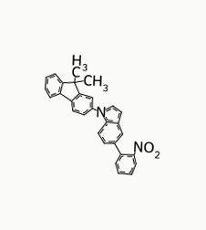 CC1(C)c2ccccc2-c2ccc(-n3ccc4cc(-c5ccccc5[N+](=O)[O-])ccc43)cc21